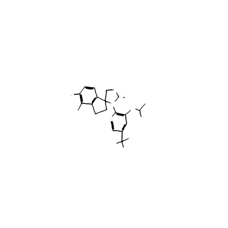 [2H][C@@H]1OCC2(CCc3c2ccc(Br)c3F)N1c1ncc(C(F)(F)F)cc1OC(F)F